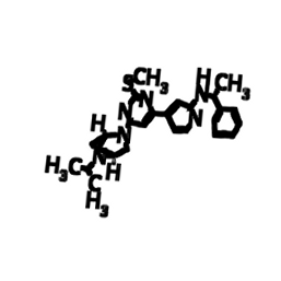 CSc1nc(-c2ccnc(N[C@@H](C)c3ccccc3)c2)cc(N2C[C@@H]3C[C@H]2CN3C(C)C)n1